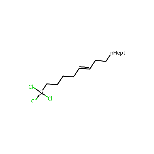 CCCCCCCCC/C=C/CCCC[Si](Cl)(Cl)Cl